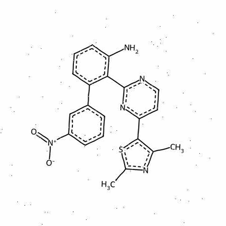 Cc1nc(C)c(-c2ccnc(-c3c(N)cccc3-c3cccc([N+](=O)[O-])c3)n2)s1